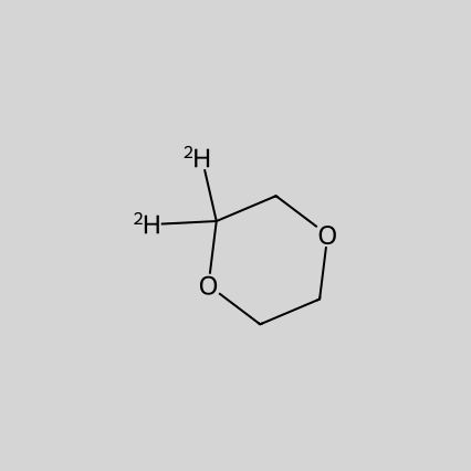 [2H]C1([2H])COCCO1